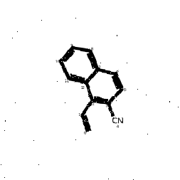 C=Cc1c(C#N)ccc2ccccc12